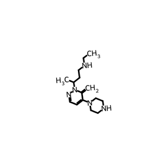 C=C1C(N2CCNCC2)=CC=NN1C(C)CCNCC